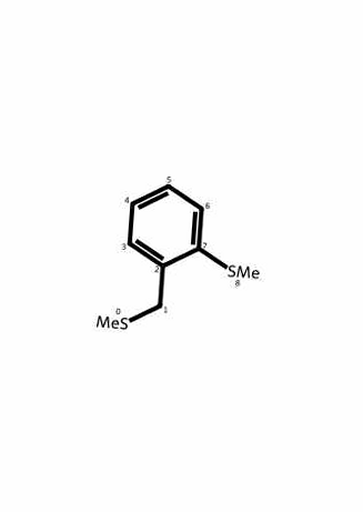 [CH2]SCc1ccccc1SC